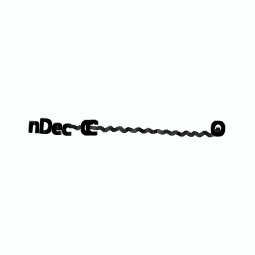 CCCCCCCCCCCCCCCCCCCCCCCCCCCCCCCCCCCCCCCCC1CO1